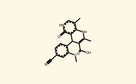 COc1cc(C#N)ccc1C1C(C(=O)O)=C(C)Nc2c(C)c[nH]c(=O)c21